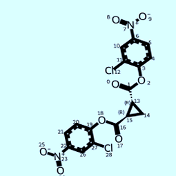 O=C(Oc1ccc([N+](=O)[O-])cc1Cl)[C@@H]1C[C@H]1C(=O)Oc1ccc([N+](=O)[O-])cc1Cl